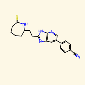 N#Cc1ccc(-c2cnc3[nH]c(CCC4CCCCC(=S)N4)nc3c2)cc1